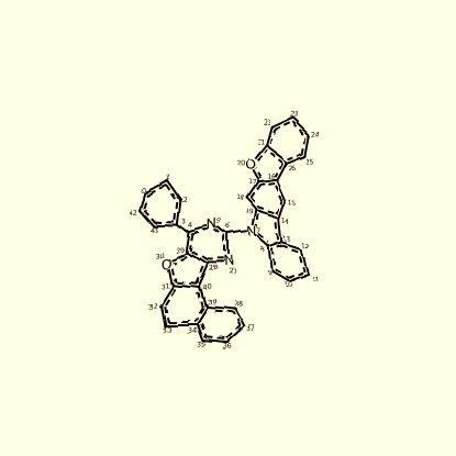 c1ccc(-c2nc(-n3c4ccccc4c4cc5c(cc43)oc3ccccc35)nc3c2oc2ccc4ccccc4c23)cc1